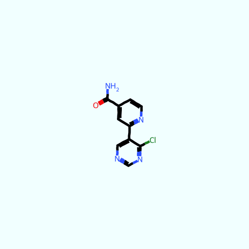 NC(=O)c1ccnc(-c2cncnc2Cl)c1